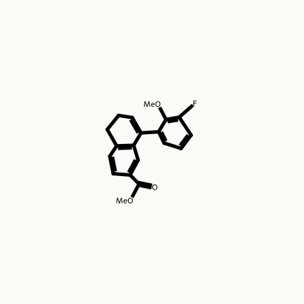 COC(=O)c1ccc2c(c1)C(c1cccc(F)c1OC)=CCC2